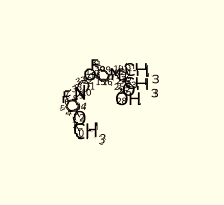 CCOc1ccc(F)c(N2CCC(Oc3ccc(N4C[C@H](C)[C@@H](C)[C@@H]4CC(=O)O)cc3F)CC2)c1